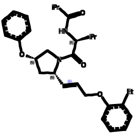 CCc1ccccc1OC/C=C/[C@@H]1C[C@H](Oc2ccccc2)CN1C(=O)[C@@H](NC(=O)C(C)C)C(C)C